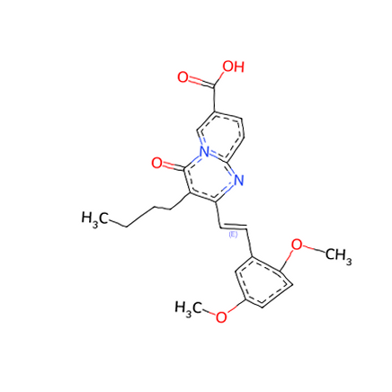 CCCCc1c(/C=C/c2cc(OC)ccc2OC)nc2ccc(C(=O)O)cn2c1=O